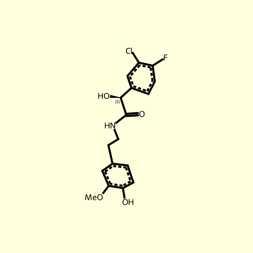 COc1cc(CCNC(=O)[C@@H](O)c2ccc(F)c(Cl)c2)ccc1O